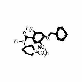 CC(C)N(C(=O)c1cc([N+](=O)[O-])c(OCc2ccccc2)cc1C(F)(F)F)[C@@H]1CCCN(C(=O)O)C1